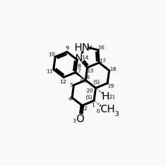 C[C@@H]1C(=O)CC[C@]2(c3ccccc3)c3n[nH]cc3CC[C@@H]12